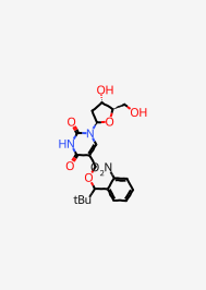 CC(C)(C)C(OCc1cn([C@H]2C[C@H](O)[C@@H](CO)O2)c(=O)[nH]c1=O)c1ccccc1[N+](=O)[O-]